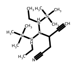 C#CC(CC#N)N([SiH](CC)[Si](C)(C)C)[SiH](CC)[Si](C)(C)C